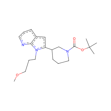 COCCCn1c(C2CCCN(C(=O)OC(C)(C)C)C2)cc2cccnc21